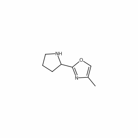 Cc1coc(C2CCCN2)n1